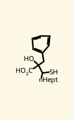 CCCCCCCC(S)C(O)(Cc1ccccc1)C(=O)O